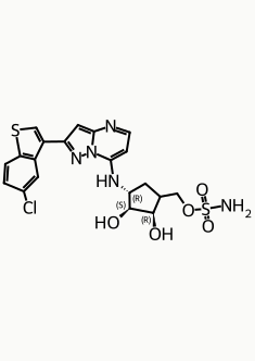 NS(=O)(=O)OCC1C[C@@H](Nc2ccnc3cc(-c4csc5ccc(Cl)cc45)nn23)[C@H](O)[C@@H]1O